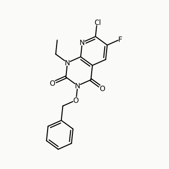 CCn1c(=O)n(OCc2ccccc2)c(=O)c2cc(F)c(Cl)nc21